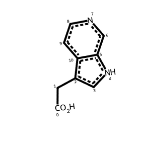 O=C(O)Cc1c[nH]c2cnccc12